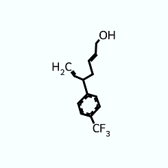 C=CC(C/C=C/CO)c1ccc(C(F)(F)F)cc1